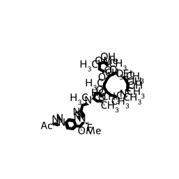 CC[C@H]1OC(=O)[C@H](C)[C@@H](O[C@H]2C[C@@](C)(OC)[C@@H](O)[C@H](C)O2)[C@H](C)[C@@H](O[C@H]2C[C@@H](N(C)CCc3cn([C@H](CF)[C@H](OC)c4ccc(-n5cc(C(C)=O)nn5)cc4)nn3)C[C@@H](C)O2)[C@](C)(O)C[C@@H](C)CN(C)[C@H](C)[C@@H](O)[C@]1(C)O